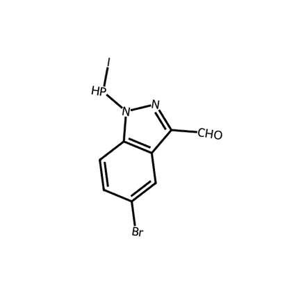 O=Cc1nn(PI)c2ccc(Br)cc12